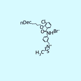 CCCCCCCCCCCCCCOc1c(Cl)cccc1C(=O)Nc1cccc(C[n+]2csc(C)c2)c1.[Br-]